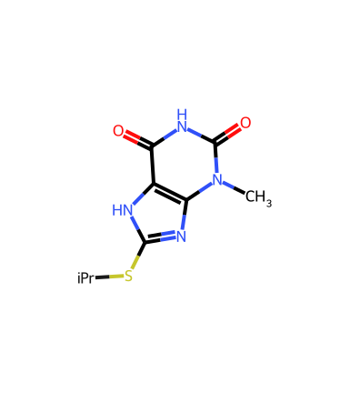 CC(C)Sc1nc2c([nH]1)c(=O)[nH]c(=O)n2C